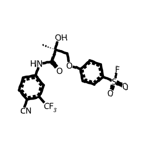 C[C@](O)(COc1ccc(S(=O)(=O)F)cc1)C(=O)Nc1ccc(C#N)c(C(F)(F)F)c1